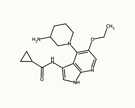 CCOc1cnc2[nH]cc(NC(=O)C3CC3)c2c1N1CCCC(N)C1